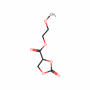 COCCOC(=O)C1COC(=O)O1